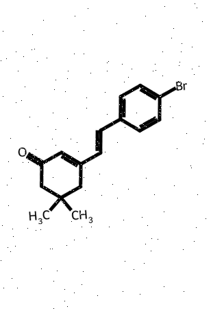 CC1(C)CC(=O)C=C(/C=C/c2ccc(Br)cc2)C1